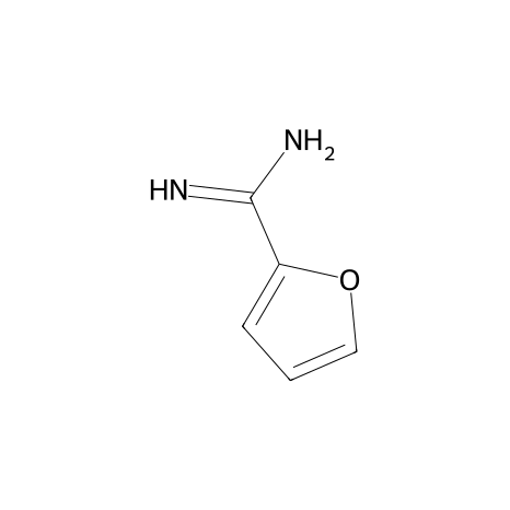 N=C(N)c1ccco1